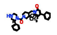 CC1(C)CN(C(=O)N2CCNC[C@H]2c2ccccc2)CCC1Cn1ccc(-c2ccccc2)cc1=O